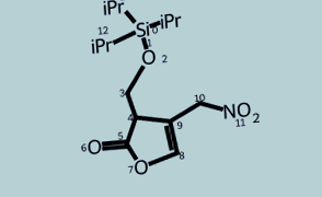 CC(C)[Si](OCC1C(=O)OC=C1C[N+](=O)[O-])(C(C)C)C(C)C